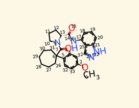 COc1ccc(C2(C(=O)N3CCC[C@@H]3C(=O)Nc3cccc4[nH]ncc34)CCCCCC2)cc1